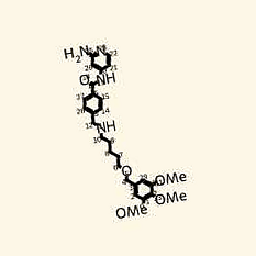 COc1cc(COCCCCCNCc2ccc(C(=O)Nc3ccnc(N)c3)cc2)cc(OC)c1OC